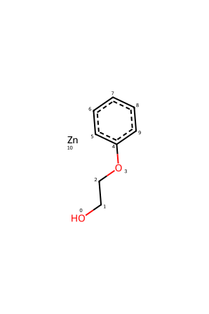 OCCOc1ccccc1.[Zn]